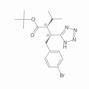 CC(C)[C@H](C(=O)OC(C)(C)C)[C@H](Cc1ccc(Br)cc1)c1nnn[nH]1